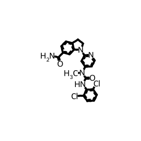 CN(C(=O)Nc1c(Cl)cccc1Cl)c1ccnc(N2CCc3ccc(C(N)=O)cc32)c1